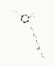 CCOC(=O)CCCCCCNc1ccc(S(N)(=O)=O)cc1[N+](=O)[O-]